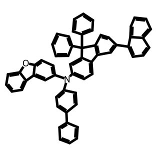 c1ccc(-c2ccc(N(c3ccc4c(c3)C(c3ccccc3)(c3ccccc3)c3ccc(-c5cccc6ccccc56)cc3-4)c3ccc4oc5ccccc5c4c3)cc2)cc1